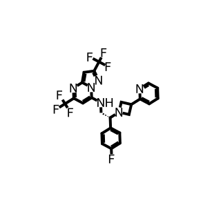 Fc1ccc([C@H](CNc2cc(C(F)(F)F)nc3cc(C(F)(F)F)nn23)N2CC(c3ccccn3)C2)cc1